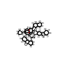 c1ccc(-c2cccc(-c3nc(-c4cc5sc6ccccc6c5cc4-n4c5cc6ccccc6cc5c5ccc6ccccc6c54)nc(-c4cccc5oc6ccccc6c45)n3)c2)cc1